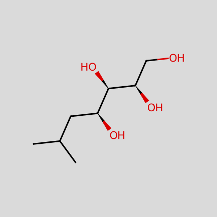 CC(C)C[C@H](O)[C@@H](O)[C@H](O)CO